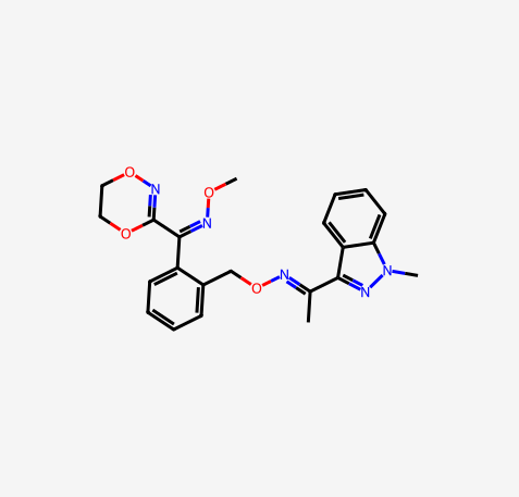 CON=C(C1=NOCCO1)c1ccccc1CON=C(C)c1nn(C)c2ccccc12